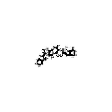 CC(C)[C@H](NC(=O)c1cc2cccc(F)c2[nH]1)C(=O)N1C[C@@H]2C[C@H]1CN2C(=O)c1nc2ccccc2[nH]1